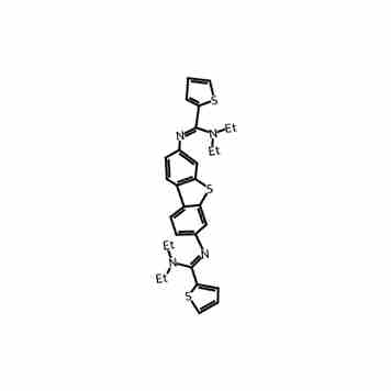 CCN(CC)C(=Nc1ccc2c(c1)sc1cc(N=C(c3cccs3)N(CC)CC)ccc12)c1cccs1